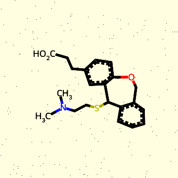 CN(C)CCSC1c2ccccc2COc2ccc(CCC(=O)O)cc21